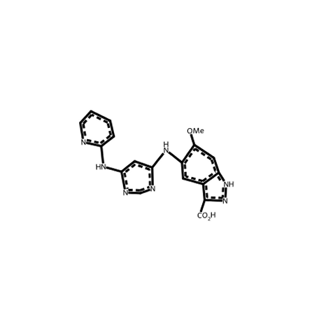 COc1cc2[nH]nc(C(=O)O)c2cc1Nc1cc(Nc2ccccn2)ncn1